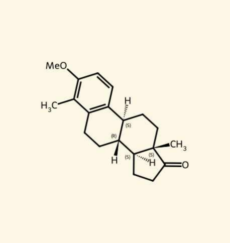 COc1ccc2c(c1C)CC[C@@H]1[C@@H]2CC[C@]2(C)C(=O)CC[C@@H]12